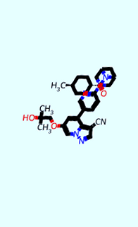 CC(C)(O)COc1cc(-c2ccc(N3CC4CC(C3)N4C(=O)[C@H]3CC[C@H](C)CC3)nc2)c2c(C#N)cnn2c1